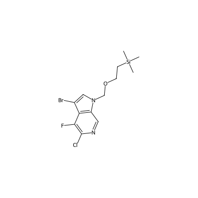 C[Si](C)(C)CCOCn1cc(Br)c2c(F)c(Cl)ncc21